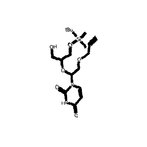 C=CCOCC(OC(CO)CO[Si](C)(C)C(C)(C)C)n1ccc(=O)[nH]c1=O